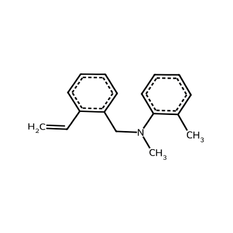 C=Cc1ccccc1CN(C)c1ccccc1C